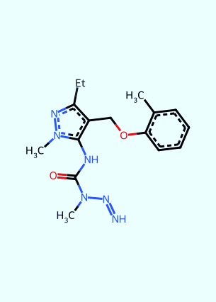 CCc1nn(C)c(NC(=O)N(C)N=N)c1COc1ccccc1C